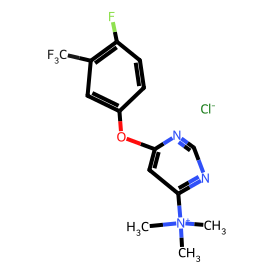 C[N+](C)(C)c1cc(Oc2ccc(F)c(C(F)(F)F)c2)ncn1.[Cl-]